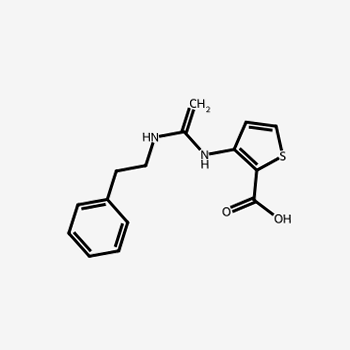 C=C(NCCc1ccccc1)Nc1ccsc1C(=O)O